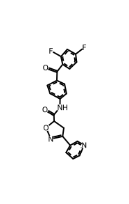 O=C(c1ccc(NC(=O)C2CC(c3cccnc3)=NO2)cc1)c1ccc(F)cc1F